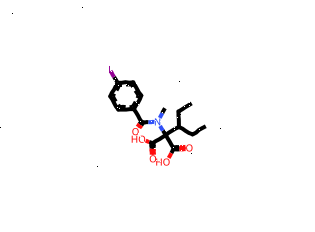 CCC(CC)C(C(=O)O)(C(=O)O)N(C)C(=O)c1ccc(I)cc1